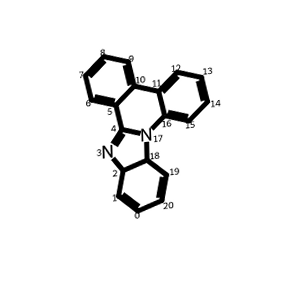 C1=CC2N=C3c4ccccc4-c4ccccc4N3C2C=C1